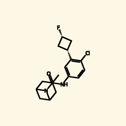 CC1CC2CC(C1)N2C(=O)Nc1ccc(Cl)c([C@H]2C[C@@H](F)C2)c1